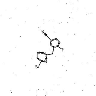 N#Cc1ccc(F)c(Cc2cccc(Br)n2)c1